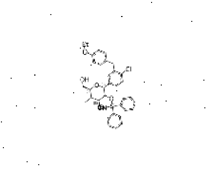 CCOc1ccc(Cc2cc([C@@H]3O[C@H](CO)C(C)[C@H](O)C3O[Si](c3ccccc3)(c3ccccc3)C(C)(C)C)ccc2Cl)cc1